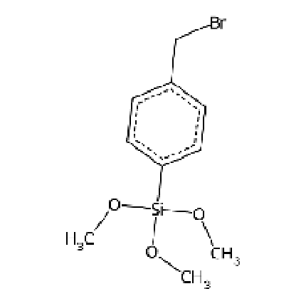 CO[Si](OC)(OC)c1ccc(CBr)cc1